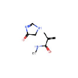 C=C(C)C(=O)NCC.O=C1CNC=N1